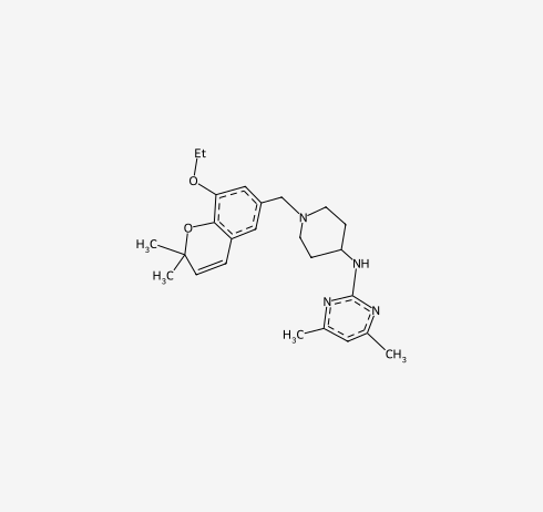 CCOc1cc(CN2CCC(Nc3nc(C)cc(C)n3)CC2)cc2c1OC(C)(C)C=C2